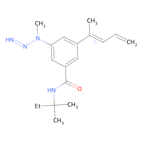 C=C/C=C(\C)c1cc(C(=O)NC(C)(C)CC)cc(N(C)N=N)c1